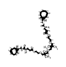 CC(C)(COCCOC(=O)CCNC(=O)OC[C@@H]1[C@@H]2CCC#CCC[C@@H]21)COCC(C)(C)COCCOC(=O)CCNC(=O)OC[C@@H]1[C@@H]2CCC#CCC[C@@H]21